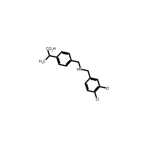 CC(C(=O)O)c1ccc(CNCc2ccc(Cl)c(Cl)c2)cc1